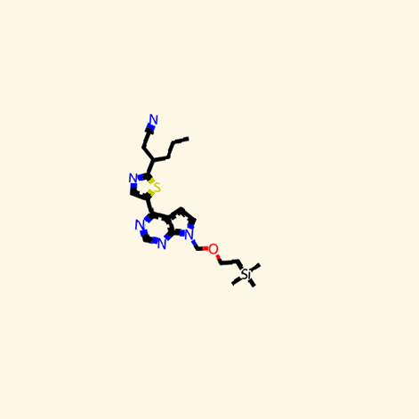 CCCC(CC#N)c1ncc(-c2ncnc3c2ccn3COCC[Si](C)(C)C)s1